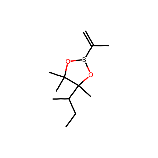 C=C(C)B1OC(C)(C)C(C)(C(C)CC)O1